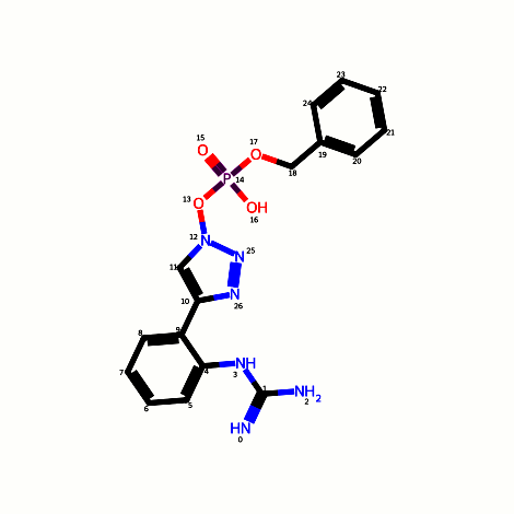 N=C(N)Nc1ccccc1-c1cn(OP(=O)(O)OCc2ccccc2)nn1